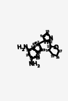 Nc1cc(N)c2sc(-c3ccnn3C3CCCCO3)cc2n1